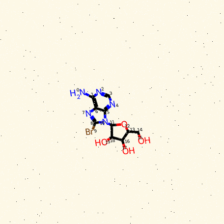 Nc1ncnc2c1nc(Br)n2C1OC(CO)C(O)C1O